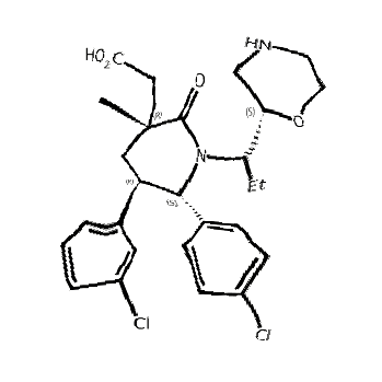 CCC([C@@H]1CNCCO1)N1C(=O)[C@@](C)(CC(=O)O)C[C@H](c2cccc(Cl)c2)[C@H]1c1ccc(Cl)cc1